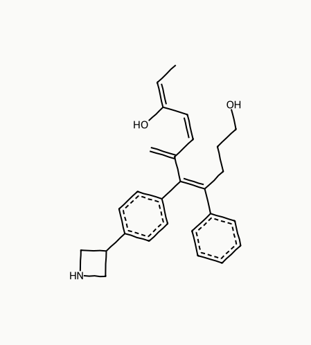 C=C(/C=C\C(O)=C/C)/C(=C(\CCCO)c1ccccc1)c1ccc(C2CNC2)cc1